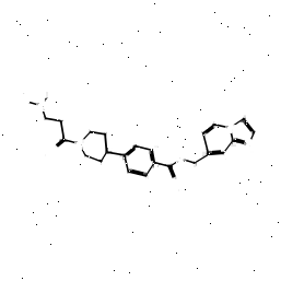 CCN(CC)CCC(=O)N1CCC(c2ccc(C(=O)NCc3ccn4ccnc4c3)cc2)CC1